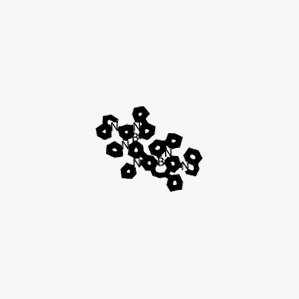 c1ccc(C2CCc3cc4c(cc3B3c5c2cc(N2CCCc6ccccc62)cc5-n2c5ccccc5c5cccc3c52)c2cc3c(cc2n4-c2ccccc2)N(c2ccccc2)c2cc(N4CCCc5ccccc54)cc4c2B3c2cccc3c5ccccc5n-4c23)cc1